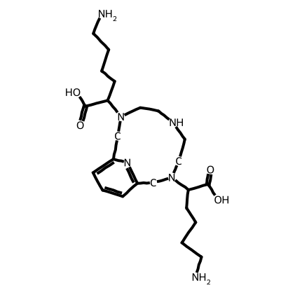 NCCCCC(C(=O)O)N1CCNCCN(C(CCCCN)C(=O)O)Cc2cccc(n2)C1